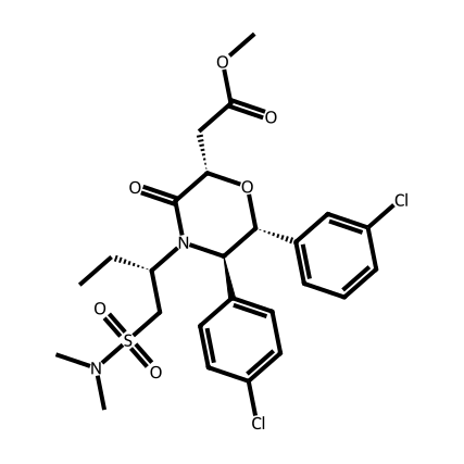 CC[C@@H](CS(=O)(=O)N(C)C)N1C(=O)[C@H](CC(=O)OC)O[C@H](c2cccc(Cl)c2)[C@H]1c1ccc(Cl)cc1